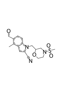 Cc1c(C=O)ccc2c1cc(C#N)n2CC1CN(S(C)(=O)=O)CCO1